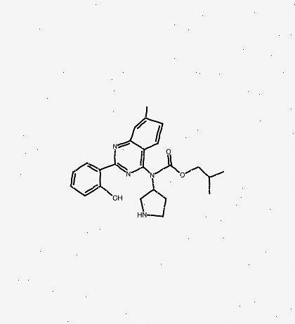 Cc1ccc2c(N(C(=O)OCC(C)C)C3CCNC3)nc(-c3ccccc3O)nc2c1